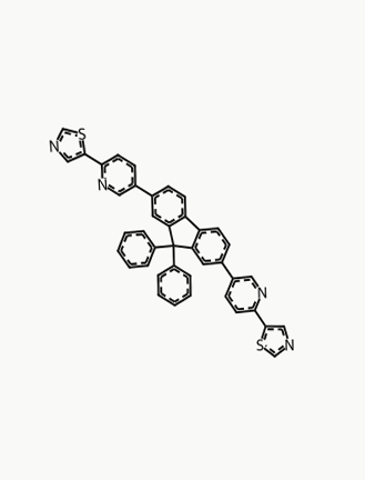 c1ccc(C2(c3ccccc3)c3cc(-c4ccc(-c5cncs5)nc4)ccc3-c3ccc(-c4ccc(-c5cncs5)nc4)cc32)cc1